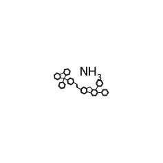 C(=Cc1ccc2c(c1)Cc1c-2ccc(-c2ccccc2)c1-c1ccccc1)c1ccc(C2(c3ccccc3)c3ccccc3-c3ccccc32)cc1.N